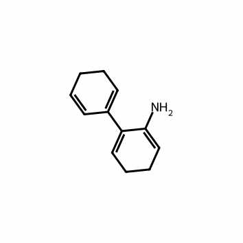 NC1=CCCC=C1C1=CCCC=C1